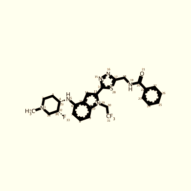 CN1CC[C@H](Nc2cccc3c2cc(-c2nnc(CNC(=O)c4ccccc4)s2)n3CC(F)(F)F)[C@H](F)C1